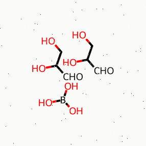 O=CC(O)CO.O=CC(O)CO.OB(O)O